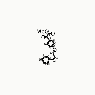 COC(=O)C(=O)c1ccc(OC/C=C\c2ccccc2)cc1